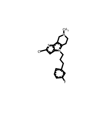 CN1CCc2c(c3sc(Cl)cc3n2CCCc2cccc(F)c2)C1